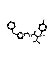 Cc1ccc(NC(C(=O)OCn2ccc(Cc3ccccc3)c2)C(C)C)cc1